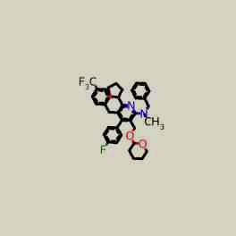 CN(Cc1ccccc1)c1nc(C2CCCC2)c(Cc2ccc(C(F)(F)F)cc2)c(-c2ccc(F)cc2)c1COC1CCCCO1